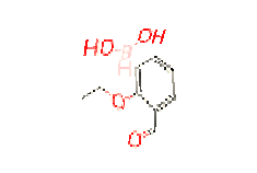 CCOc1ccccc1C=O.OBO